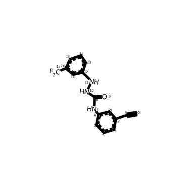 C#Cc1cccc(NC(=O)NNc2cccc(C(F)(F)F)c2)c1